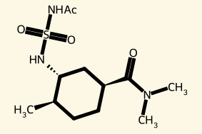 CC(=O)NS(=O)(=O)N[C@@H]1C[C@@H](C(=O)N(C)C)CC[C@H]1C